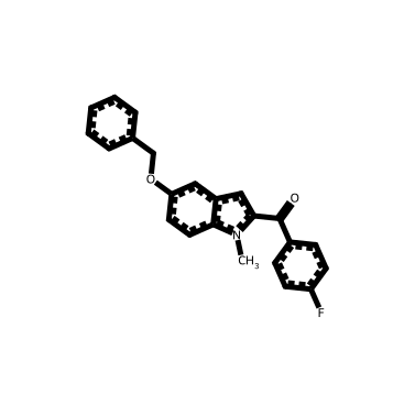 Cn1c(C(=O)c2ccc(F)cc2)cc2cc(OCc3ccccc3)ccc21